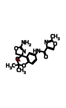 Cc1nc(C(=O)Nc2ccc3c(c2)C2(COC(N)=N2)C2(COC2)C(C)(C)O3)co1